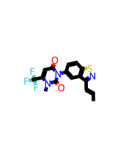 CC=Cc1nsc2ccc(-n3c(=O)cc(C(F)(F)F)n(C)c3=O)cc12